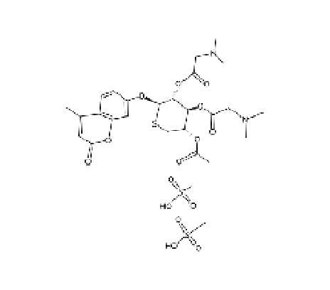 CC(=O)O[C@@H]1CS[C@@H](Oc2ccc3c(C)cc(=O)oc3c2)[C@H](OC(=O)CN(C)C)[C@H]1OC(=O)CN(C)C.CS(=O)(=O)O.CS(=O)(=O)O